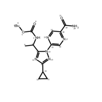 CC(NC(=O)OC(C)(C)C)c1nc(C2CC2)nn1-c1cnc(C(N)=O)cn1